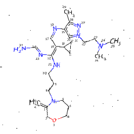 C=C1COCCCN1CCCNC(/N=C/N)=C(/C=N\c1cn(CCN(C)C)nc1C)C1CC1